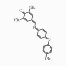 CC(C)(C)C1=CC(=CN=C2C=CC(=Nc3ccc(C(C)(C)C)cc3)C=C2)C=C(C(C)(C)C)C1=O